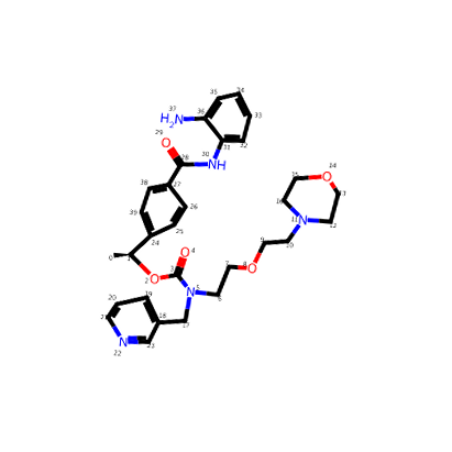 C[C@H](OC(=O)N(CCOCCN1CCOCC1)Cc1cccnc1)c1ccc(C(=O)Nc2ccccc2N)cc1